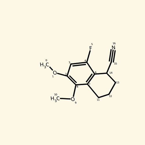 COc1cc(F)c2c(c1OC)CCCC2C#N